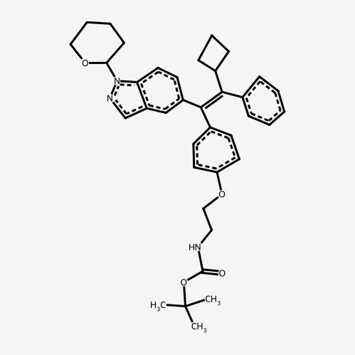 CC(C)(C)OC(=O)NCCOc1ccc(/C(=C(\c2ccccc2)C2CCC2)c2ccc3c(cnn3C3CCCCO3)c2)cc1